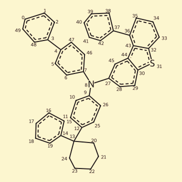 c1ccc(-c2ccc(N(c3ccc(C4(c5ccccc5)CCCCC4)cc3)c3ccc4sc5cccc(-c6ccccc6)c5c4c3)cc2)cc1